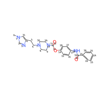 Cn1cnc(CCN2CCN(C(=O)Oc3ccc(NC(=O)c4ccccc4)cc3)CC2)c1